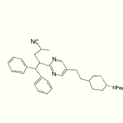 CCCCCC1CCC(CCc2cnc(C(CC(C)C#N)C(c3ccccc3)c3ccccc3)nc2)CC1